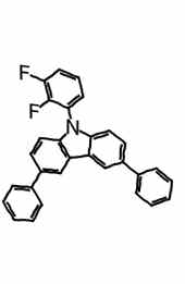 Fc1cccc(-n2c3ccc(-c4ccccc4)cc3c3cc(-c4ccccc4)ccc32)c1F